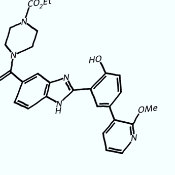 CCOC(=O)N1CCN(C(=O)c2ccc3[nH]c(-c4cc(-c5cccnc5OC)ccc4O)nc3c2)CC1